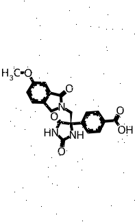 COc1ccc2c(c1)C(=O)N(C[C@@]1(c3ccc(C(=O)O)cc3)NC(=O)NC1=O)C2